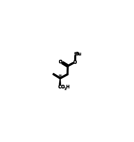 C[C@@H](CC(=O)OC(C)(C)C)C(=O)O